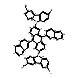 Fc1ccc2c(c1)c1cc(F)ccc1n2-c1ccc2c(-c3ccc4ccccc4c3)c3cc(-n4c5ccc(F)cc5c5cc(F)ccc54)ccc3c(-c3ccc4ccccc4c3)c2c1